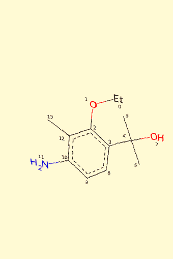 CCOc1c(C(C)(C)O)ccc(N)c1C